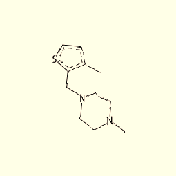 Cc1ccsc1CN1CCN(C)CC1